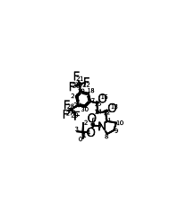 CC(C)(C)OC(=O)N1CCCC1C(=O)CC(=O)c1cc(C(F)(F)F)cc(C(F)(F)F)c1